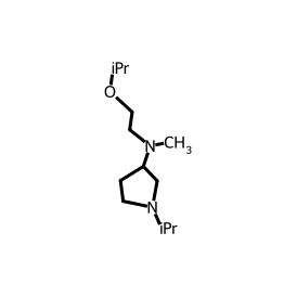 CC(C)OCCN(C)C1CCN(C(C)C)C1